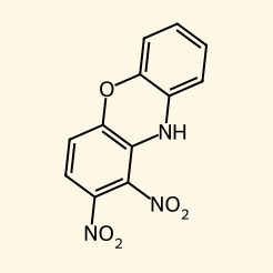 O=[N+]([O-])c1ccc2c(c1[N+](=O)[O-])Nc1ccccc1O2